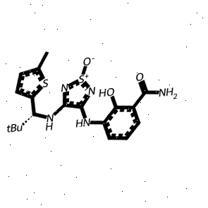 Cc1ccc([C@H](Nc2n[s+]([O-])nc2Nc2cccc(C(N)=O)c2O)C(C)(C)C)s1